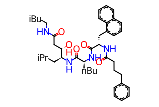 CCCC[C@H](NC(=O)[C@H](Cc1cccc2ccccc12)NC(=O)CCCc1ccccc1)C(=O)N[C@@H](CC(C)C)[C@@H](O)CC(=O)NCC(C)CC